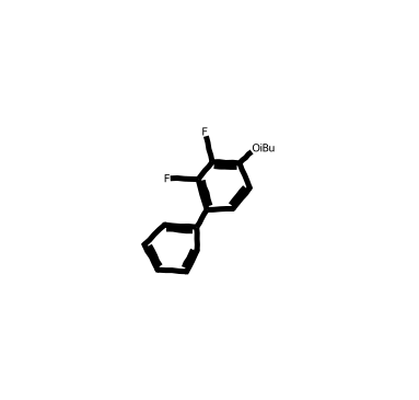 CC(C)COc1ccc(-c2ccccc2)c(F)c1F